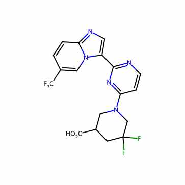 O=C(O)C1CN(c2ccnc(-c3cnc4ccc(C(F)(F)F)cn34)n2)CC(F)(F)C1